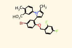 Cc1ccc(-n2c(C)ccc2-c2cc(Br)ccc2OCc2ccc(F)cc2F)cc1C(=O)O